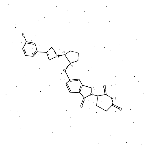 O=C1CCC(N2Cc3cc(O[C@@H]4CCC[C@@H]4N4CC(c5cccc(F)c5)C4)ccc3C2=O)C(=O)N1